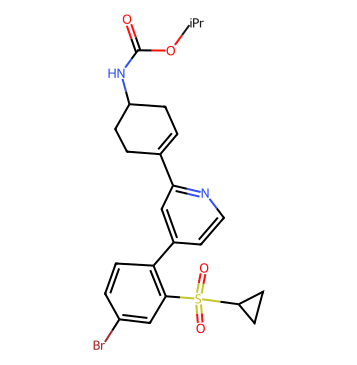 CC(C)OC(=O)NC1CC=C(c2cc(-c3ccc(Br)cc3S(=O)(=O)C3CC3)ccn2)CC1